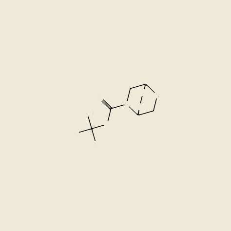 CC(C)(C)OC(=O)N1C[C]2CCC1CN2